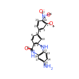 COc1cc(-c2ccc3c(c2)Nc2ccc(N)cc2NC3=O)ccc1[N+](=O)[O-]